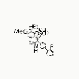 CCOc1cc([C@@H](CS(C)(=O)=O)C2C(=O)Nc3cc(-c4ccccc4F)ccc32)ccc1OC